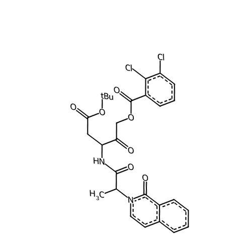 CC(C(=O)NC(CC(=O)OC(C)(C)C)C(=O)COC(=O)c1cccc(Cl)c1Cl)n1ccc2ccccc2c1=O